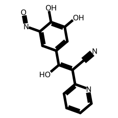 N#C/C(=C(/O)c1cc(O)c(O)c(N=O)c1)c1ccccn1